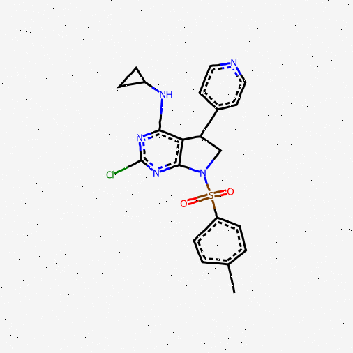 Cc1ccc(S(=O)(=O)N2CC(c3ccncc3)c3c(NC4CC4)nc(Cl)nc32)cc1